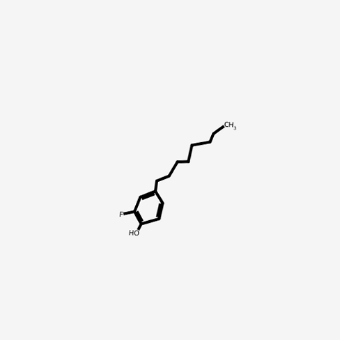 CCCCCCCCc1ccc(O)c(F)c1